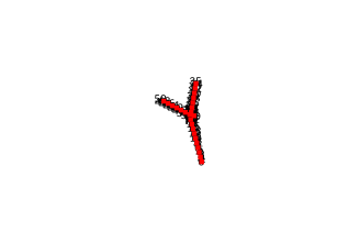 CCCCCCCCCCCCCCCCCCCN1C=CN(CCCCCCCCCCCCC)C1CCCCCCCCCCCCCC